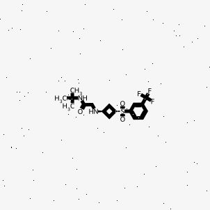 CC(C)(C)NC(=O)CN[C@H]1C[C@H](S(=O)(=O)c2cccc(C(F)(F)F)c2)C1